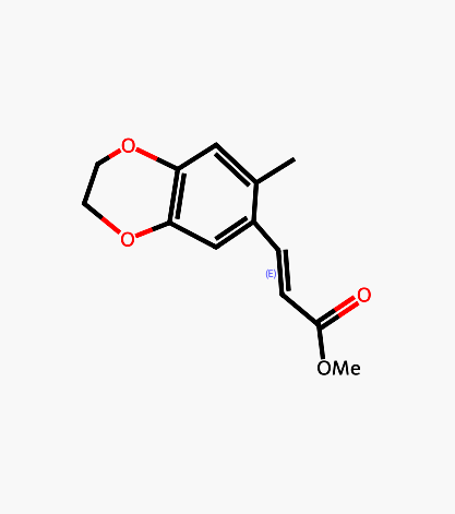 COC(=O)/C=C/c1cc2c(cc1C)OCCO2